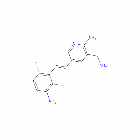 NCc1cc(C=Cc2c(F)ccc(N)c2F)cnc1N